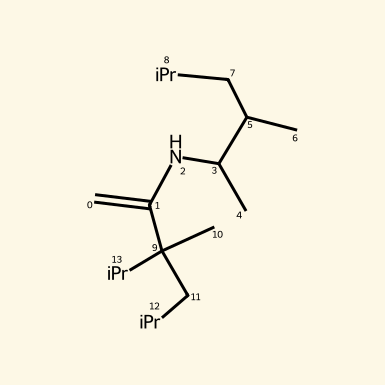 C=C(NC(C)C(C)CC(C)C)C(C)(CC(C)C)C(C)C